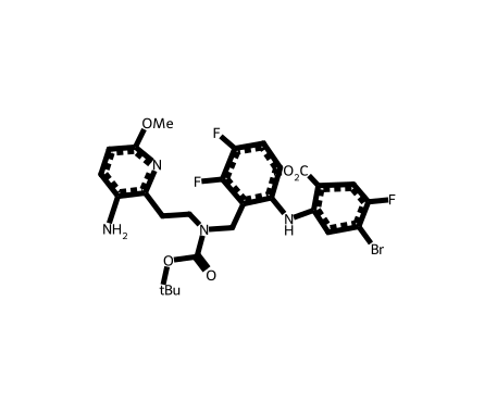 COc1ccc(N)c(CCN(Cc2c(Nc3cc(Br)c(F)cc3C(=O)O)ccc(F)c2F)C(=O)OC(C)(C)C)n1